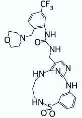 O=C(NCc1cnc2nc1NCCCNS(=O)(=O)c1cccc(c1)N2)Nc1cc(C(F)(F)F)ccc1CN1CCOCC1